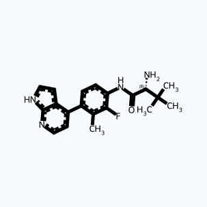 Cc1c(-c2ccnc3[nH]ccc23)ccc(NC(=O)[C@H](N)C(C)(C)C)c1F